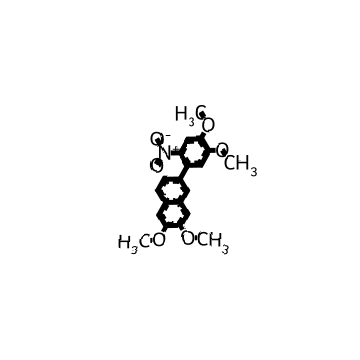 COc1cc(-c2ccc3cc(OC)c(OC)cc3c2)c([N+](=O)[O-])cc1OC